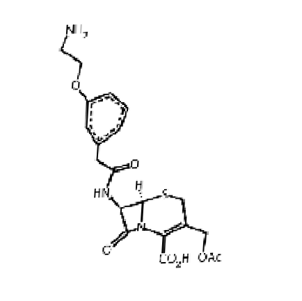 CC(=O)OCC1=C(C(=O)O)N2C(=O)[C@@H](NC(=O)Cc3cccc(OCCN)c3)[C@H]2SC1